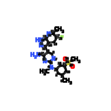 Cc1cc(N(C)c2ncc(-c3n[nH]c4nc(C)c(F)cc34)c(N)n2)cc(S(C)(=O)=O)c1